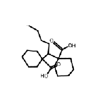 [CH2]CCCC(C1(C(=O)O)CCCCC1)C1(C(=O)O)CCCCC1